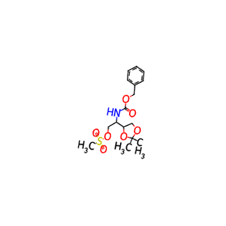 CC1(C)OCC(C(COS(C)(=O)=O)NC(=O)OCc2ccccc2)O1